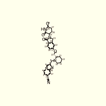 N#Cc1ccn2cc(CN3CCCC[C@H]3COc3ccc4c(c3)CN(C3CCC(=O)NC3=O)C4=O)nc2c1